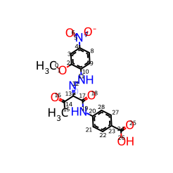 COc1cc([N+](=O)[O-])ccc1N/N=C(/C(C)=O)C(=O)Nc1ccc(C(=O)O)cc1